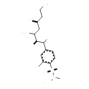 CCCC(=O)CC(C)C(=O)C(C)c1ccc(S(=O)(=O)N(C)C)c(Cl)c1